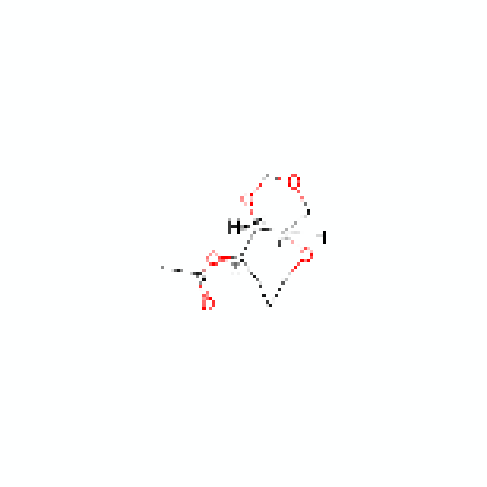 CC(=O)O[C@@H]1C2CC2O[C@@H]2COCO[C@@H]12